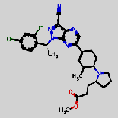 COC(=O)CC[C@@H]1CCCN1C1CCC(c2cnc3c(C#N)nn([C@H](C)c4ccc(Cl)cc4Cl)c3n2)=CC1C